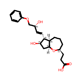 O=C(O)CC[C@@H]1CCC[C@@H]2[C@@H](C=C[C@@H](O)COc3ccccc3)[C@H](O)C[C@@H]2O1